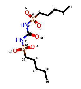 CCCCCS(=O)(=O)NC(=O)NS(=O)(=O)CCCCC